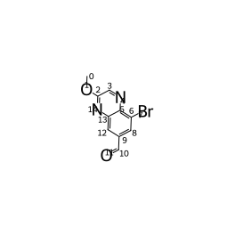 COc1cnc2c(Br)cc(C=O)cc2n1